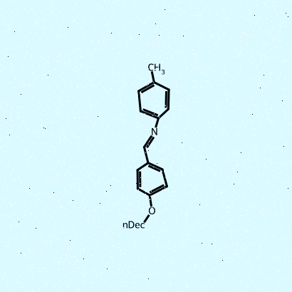 CCCCCCCCCCOc1ccc(C=Nc2ccc(C)cc2)cc1